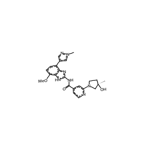 COc1ccc(-c2cnn(C)c2)c2nc(NC(=O)c3ccnc(N4CC[C@@](C)(O)C4)c3)[nH]c12